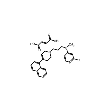 CN(CCCN1CC=C(c2cccc3ccccc23)CC1)c1ccnc(Cl)c1.O=C(O)/C=C/C(=O)O